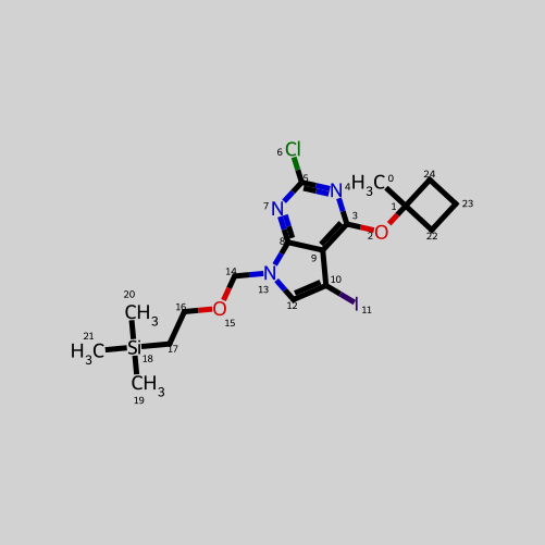 CC1(Oc2nc(Cl)nc3c2c(I)cn3COCC[Si](C)(C)C)CCC1